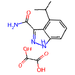 CC(C)c1cccc2[nH]nc(C(N)=O)c12.O=C(O)C(=O)O